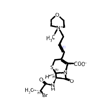 C[C@@H](Br)C(=O)N[C@@H]1C(=O)N2C(C(=O)[O-])=C(/C=C/C[N+]3(C)CCOCC3)CS[C@H]12